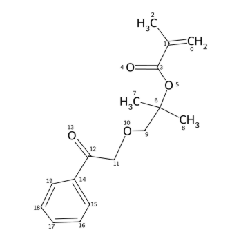 C=C(C)C(=O)OC(C)(C)COCC(=O)c1ccccc1